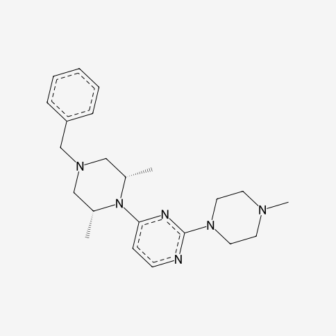 C[C@@H]1CN(Cc2ccccc2)C[C@H](C)N1c1ccnc(N2CCN(C)CC2)n1